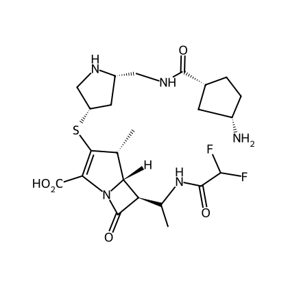 CC(NC(=O)C(F)F)[C@H]1C(=O)N2C(C(=O)O)=C(S[C@@H]3CN[C@H](CNC(=O)[C@@H]4CC[C@H](N)C4)C3)[C@H](C)[C@H]12